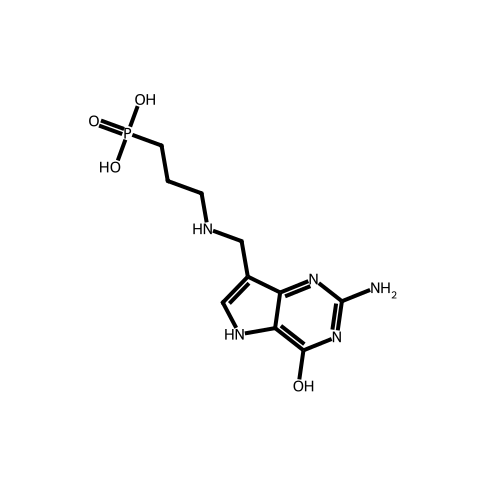 Nc1nc(O)c2[nH]cc(CNCCCP(=O)(O)O)c2n1